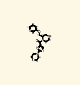 O=C(c1coc(N2CCOCC2)n1)N1CCNCC1COc1cccnc1